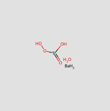 O.[BaH2].[O]=[Ti]([OH])[O]O